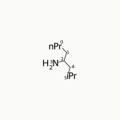 CCCCC(N)CC(C)C